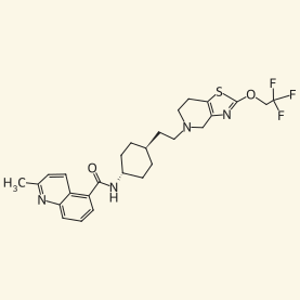 Cc1ccc2c(C(=O)N[C@H]3CC[C@H](CCN4CCc5sc(OCC(F)(F)F)nc5C4)CC3)cccc2n1